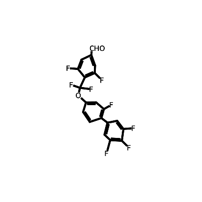 O=Cc1cc(F)c(C(F)(F)Oc2ccc(-c3cc(F)c(F)c(F)c3)c(F)c2)c(F)c1